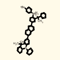 CC(C)(C)c1ccc(Nc2ccc(-c3ccc4cc(-c5ccc6c(c5)C(C)(C)c5ccccc5N6c5ccccc5)ccc4c3)cc2C(C)(C)c2ccccc2)cc1